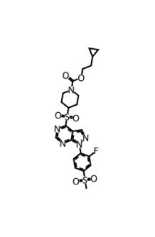 CS(=O)(=O)c1ccc(-n2ncc3c(S(=O)(=O)C4CCN(C(=O)OCCC5CC5)CC4)ncnc32)c(F)c1